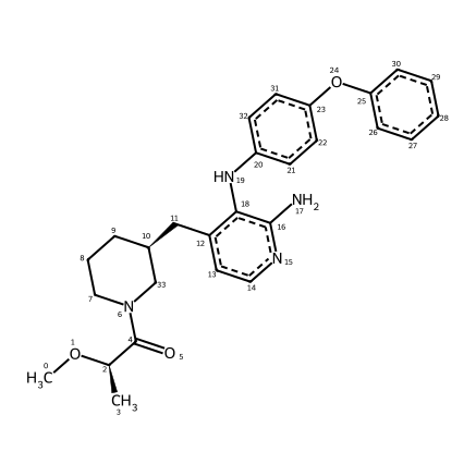 CO[C@H](C)C(=O)N1CCC[C@@H](Cc2ccnc(N)c2Nc2ccc(Oc3ccccc3)cc2)C1